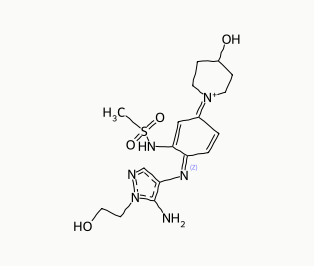 CS(=O)(=O)NC1=CC(=[N+]2CCC(O)CC2)C=C/C1=N/c1cnn(CCO)c1N